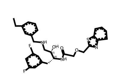 CCc1cccc(CNC[C@H](O)[C@@H](Cc2cc(F)cc(F)c2)NC(=O)COCc2nc3ccccc3s2)c1